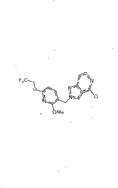 COc1nc(OCC(F)(F)F)ccc1Cn1cc2c(Cl)nccc2n1